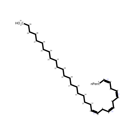 CCCCC/C=C\C/C=C\C/C=C\C/C=C\CCCCCCCCCCCCCCCCCCCC(=O)O